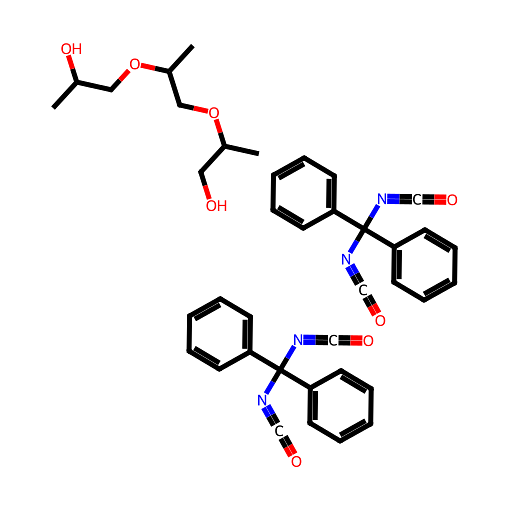 CC(O)COC(C)COC(C)CO.O=C=NC(N=C=O)(c1ccccc1)c1ccccc1.O=C=NC(N=C=O)(c1ccccc1)c1ccccc1